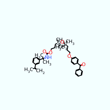 C=C(C)c1cccc(C(C)(C)NC(=O)OCCC[Si](C)(C)O[Si](C)(C)CCCOc2ccc(C(=O)c3ccccc3)cc2)c1